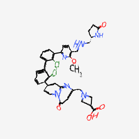 COc1nc(-c2cccc(-c3cccc(-c4ccn5c(=O)cc(CN6CC(C(=O)O)C6)nc5c4)c3Cl)c2Cl)ccc1CNC[C@@H]1CCC(=O)N1